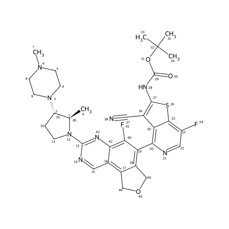 C[C@@H]1[C@@H](N2CCN(C)CC2)CCN1c1ncc2c3c(c(-c4ncc(F)c5sc(NC(=O)OC(C)(C)C)c(C#N)c45)c(F)c2n1)COC3